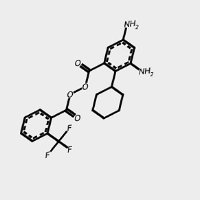 Nc1cc(N)c(C2CCCCC2)c(C(=O)OOC(=O)c2ccccc2C(F)(F)F)c1